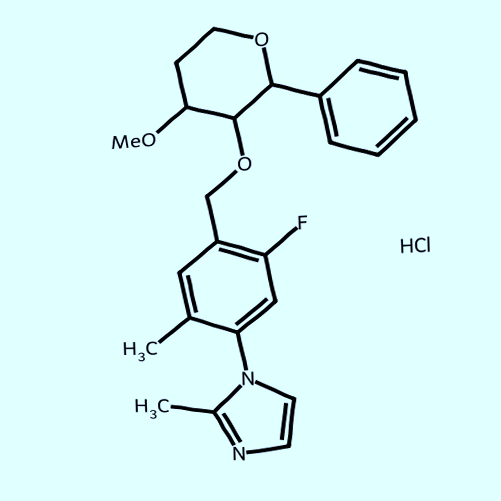 COC1CCOC(c2ccccc2)C1OCc1cc(C)c(-n2ccnc2C)cc1F.Cl